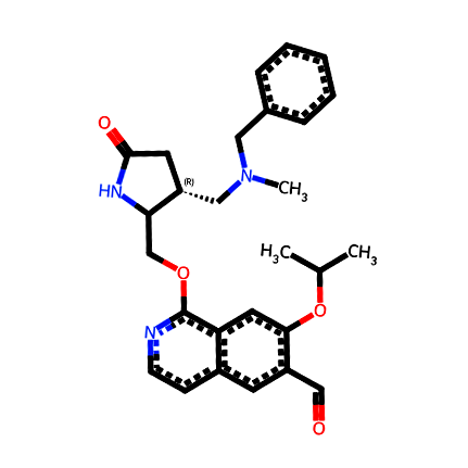 CC(C)Oc1cc2c(OCC3NC(=O)C[C@@H]3CN(C)Cc3ccccc3)nccc2cc1C=O